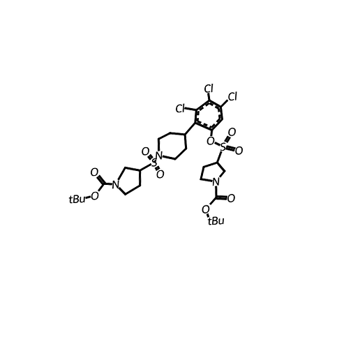 CC(C)(C)OC(=O)N1CCC(S(=O)(=O)Oc2cc(Cl)c(Cl)c(Cl)c2C2CCN(S(=O)(=O)C3CCN(C(=O)OC(C)(C)C)C3)CC2)C1